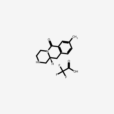 Cc1ccc2c(c1)C(=O)N1CCNC[C@H]1C2.O=C(O)C(F)(F)F